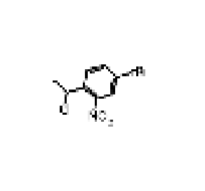 CC(Cl)c1ccc(C(C)(C)C)cc1[N+](=O)[O-]